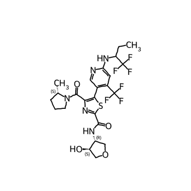 CCC(Nc1cc(C(F)(F)F)c(-c2sc(C(=O)N[C@@H]3COC[C@H]3O)nc2C(=O)N2CCC[C@@H]2C)cn1)C(F)(F)F